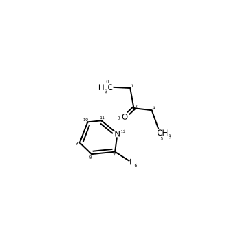 CCC(=O)CC.Ic1ccccn1